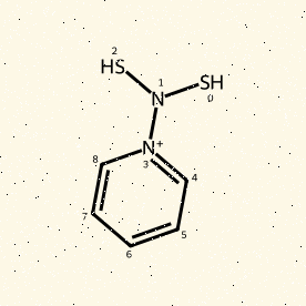 SN(S)[n+]1ccccc1